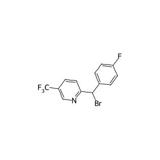 Fc1ccc(C(Br)c2ccc(C(F)(F)F)cn2)cc1